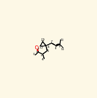 CC(=O)C(C)CC1(CC=C(C)C)CC1